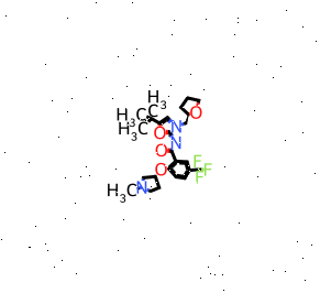 CN1CC[C@H](Oc2ccc(C(F)(F)F)cc2C(=O)N=c2oc(C(C)(C)C)cn2C[C@H]2CCCO2)C1